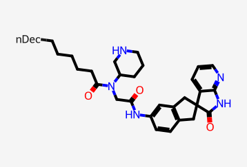 CCCCCCCCCCCCCCCC(=O)N(CC(=O)Nc1ccc2c(c1)CC1(C2)C(=O)Nc2ncccc21)C1CCCNC1